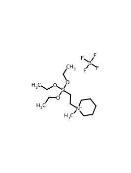 CCO[Si](CC[N+]1(C)CCCCC1)(OCC)OCC.F[B-](F)(F)F